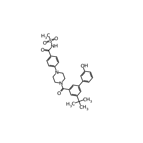 CC(C)(C)c1cc(C(=O)N2CCN(c3ccc(C(=O)NS(C)(=O)=O)cc3)CC2)cc(-c2cccc(O)c2)c1